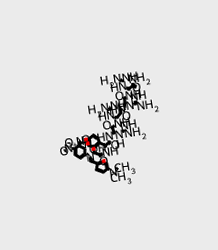 CN(C)c1ccc(CN(c2ccc([N+](=O)[O-])c3nonc23)C(O)C(=O)NC(C(=O)NC(NC(=N)N)C(=O)NC(NC(=N)N)C(=O)NC(NC(=N)N)C(=O)NC(NC(=N)N)C(N)=O)c2ccccc2)cc1